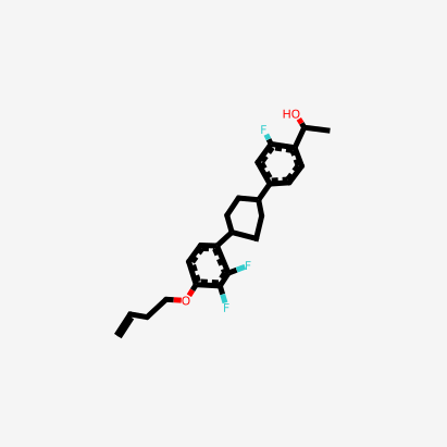 C=CCCOc1ccc(C2CCC(c3ccc(C(C)O)c(F)c3)CC2)c(F)c1F